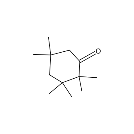 CC1(C)CC(=O)C(C)(C)C(C)(C)C1